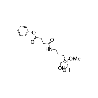 CO[Si](CO)(CO)CCCNC(=O)CCC(=O)Oc1ccccc1